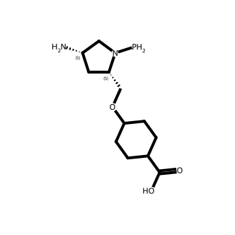 N[C@H]1C[C@@H](COC2CCC(C(=O)O)CC2)N(P)C1